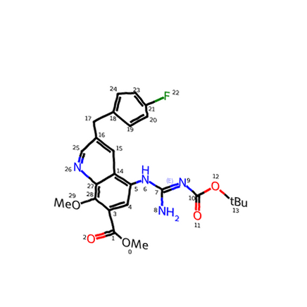 COC(=O)c1cc(N/C(N)=N/C(=O)OC(C)(C)C)c2cc(Cc3ccc(F)cc3)cnc2c1OC